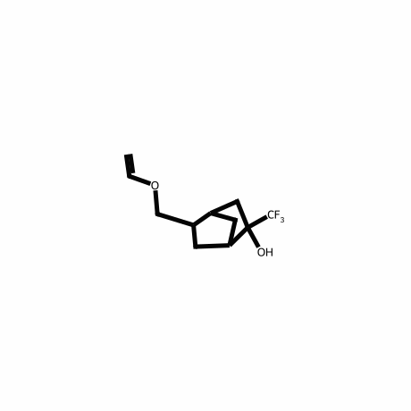 C=COCC1CC2CC1CC2(O)C(F)(F)F